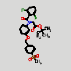 CC(C)(C)OC(=O)CN(C(=O)c1c(F)cccc1F)c1cccc(OCc2ccc(S(C)(=O)=O)cc2)c1